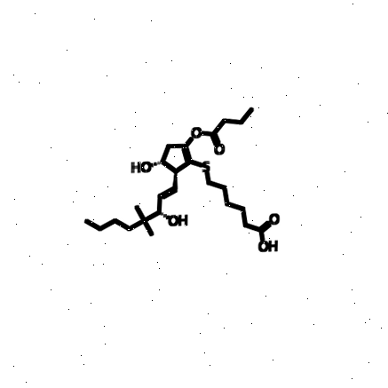 CCCCC(C)(C)[C@@H](O)/C=C/[C@@H]1C(SCCCCCC(=O)O)=C(OC(=O)CCC)C[C@H]1O